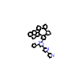 c1ccc(-c2cc(-c3ccc(-c4cccnc4)nc3)nc(-c3ccc4c5ccccc5c5ccccc5c5ccccc5c5c(cc6ccc7cccc8ccc5c6c78)c4c3)n2)cc1